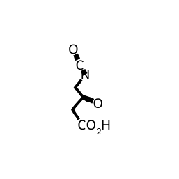 O=C=NCC(=O)CC(=O)O